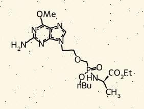 CCCCOP(=O)(COCCn1cnc2c(OC)nc(N)nc21)N[C@H](C)C(=O)OCC